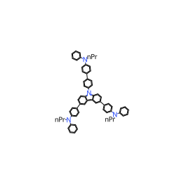 CCCN(c1ccccc1)c1ccc(-c2ccc(-n3c4ccc(-c5ccc(N(CCC)c6ccccc6)cc5)cc4c4cc(-c5ccc(N(CCC)c6ccccc6)cc5)ccc43)cc2)cc1